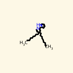 CCCCCCCCCC1(CCCCCCCCC)C=CNC(c2ccccn2)=C1